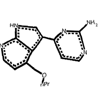 CCCOc1ccnc2[nH]cc(-c3ccnc(N)n3)c12